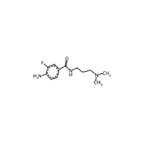 CN(C)CCCNC(=O)c1ccc(N)c(F)c1